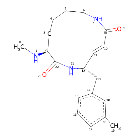 CN[C@H]1CCCCNC(=O)/C=C/[C@H](Cc2cccc(C)c2)NC1=O